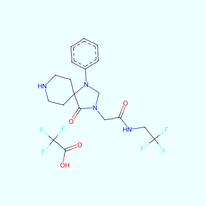 O=C(CN1CN(c2ccccc2)C2(CCNCC2)C1=O)NCC(F)(F)F.O=C(O)C(F)(F)F